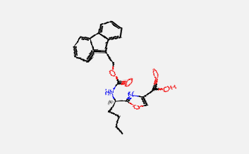 CCCC[C@@H](NC(=O)OCC1c2ccccc2-c2ccccc21)c1nc(C(=O)O)co1